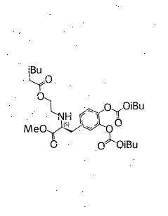 CCC(C)CC(=O)OCCN[C@@H](Cc1ccc(OC(=O)OCC(C)C)c(OC(=O)OCC(C)C)c1)C(=O)OC